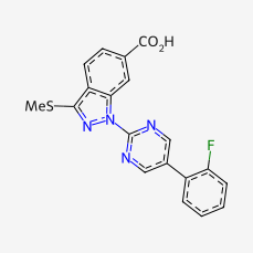 CSc1nn(-c2ncc(-c3ccccc3F)cn2)c2cc(C(=O)O)ccc12